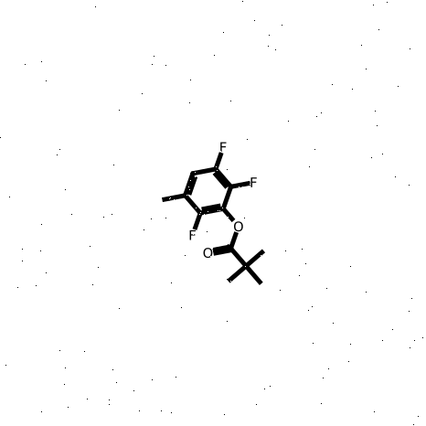 Cc1cc(F)c(F)c(OC(=O)C(C)(C)C)c1F